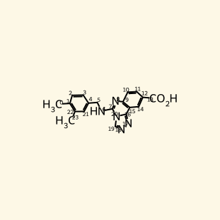 Cc1ccc(CNc2nc3ccc(C(=O)O)cc3c3nncn23)cc1C